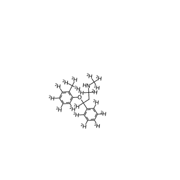 [2H]c1c([2H])c([2H])c(C([2H])(CC([2H])([2H])NC([2H])([2H])[2H])Oc2c([2H])c([2H])c([2H])c([2H])c2C([2H])([2H])[2H])c([2H])c1[2H]